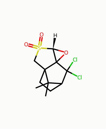 CC1(C)C2CCC13CS(=O)(=O)[C@@H]1OC13C2(Cl)Cl